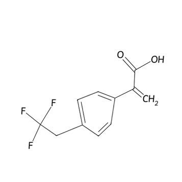 C=C(C(=O)O)c1ccc(CC(F)(F)F)cc1